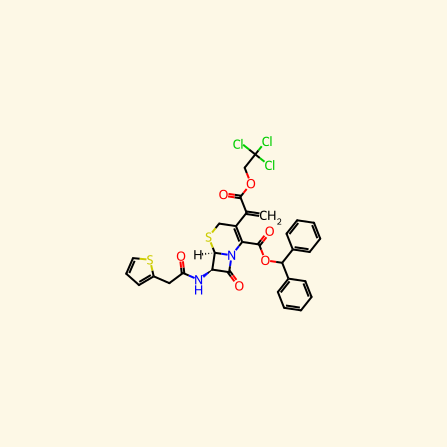 C=C(C(=O)OCC(Cl)(Cl)Cl)C1=C(C(=O)OC(c2ccccc2)c2ccccc2)N2C(=O)[C@@H](NC(=O)Cc3cccs3)[C@H]2SC1